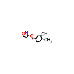 Cc1ccc(COc2c[c]on2)cc1C